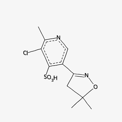 Cc1ncc(C2=NOC(C)(C)C2)c(S(=O)(=O)O)c1Cl